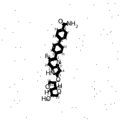 NC(=O)c1ccc(-c2ccc(-c3nc4cc(O[C@@H]5CO[C@H]6[C@@H]5OC[C@H]6O)[nH]c4cc3F)cc2)cc1